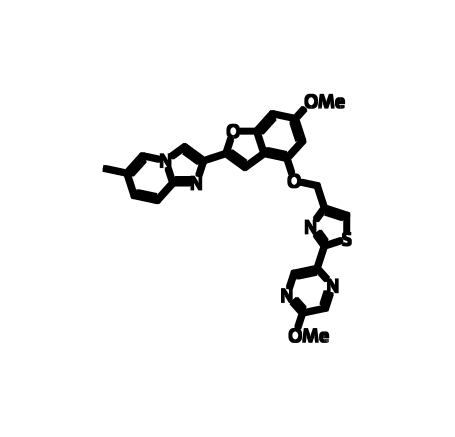 COc1cc(OCc2csc(-c3cnc(OC)cn3)n2)c2cc(-c3cn4cc(C)ccc4n3)oc2c1